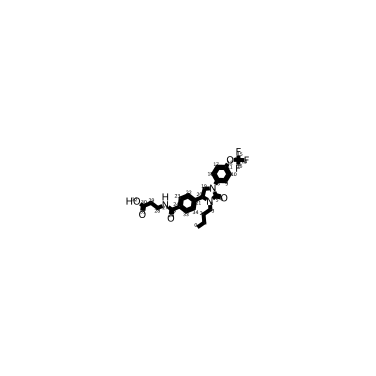 CCCCN1C(=O)N(c2ccc(OC(F)(F)F)cc2)CC1c1ccc(C(=O)NCCC(=O)O)cc1